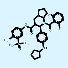 Cc1ccc(NC(=O)C2CC3CCCC3N(C(=O)c3c(C)cccc3F)C2c2ccc(NC3CCCC3)cc2)cc1P(C)(C)=O